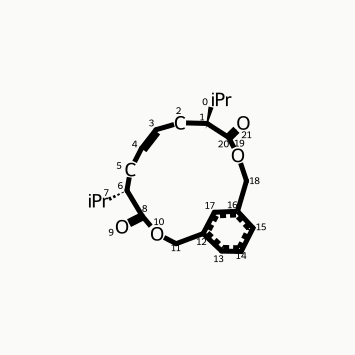 CC(C)[C@@H]1C/C=C\C[C@@H](C(C)C)C(=O)OCc2cccc(c2)COC1=O